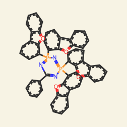 c1ccc(C2=NP(c3cccc4c3oc3ccccc34)(c3cccc4c3oc3ccccc34)=NP(c3cccc4c3oc3ccccc34)(c3cccc4c3oc3ccccc34)=N2)cc1